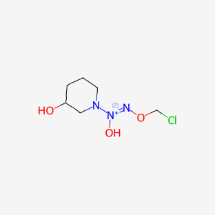 OC1CCCN(/[N+](O)=N/OCCl)C1